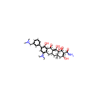 CN(C)Cc1cccc(-c2cc(N(C)C)c3c(c2O)C(=O)C2=C(O)[C@]4(O)C(=O)C(C(N)=O)=C(O)C[C@@H]4CC2C3)c1